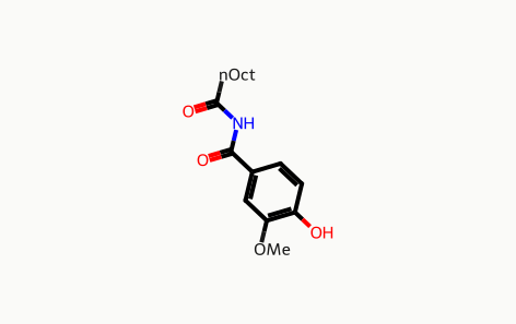 CCCCCCCCC(=O)NC(=O)c1ccc(O)c(OC)c1